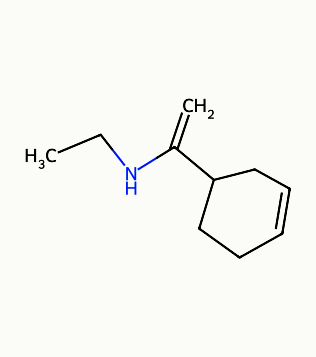 C=C(NCC)C1CC=CCC1